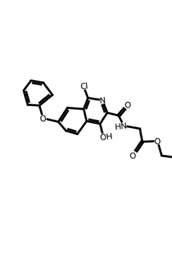 CCOC(=O)CNC(=O)c1nc(Cl)c2cc(Oc3ccccc3)ccc2c1O